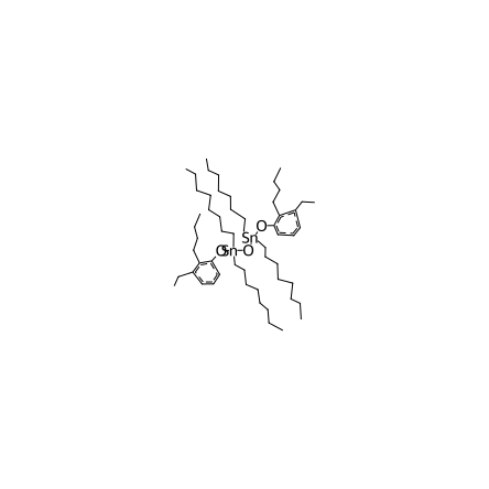 CCCCCCC[CH2][Sn]([CH2]CCCCCCC)([O]c1cccc(CC)c1CCCC)[O][Sn]([CH2]CCCCCCC)([CH2]CCCCCCC)[O]c1cccc(CC)c1CCCC